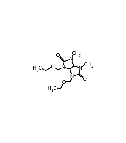 CCOCN1C(=O)N(C)C2C1N(COCC)C(=O)N2C